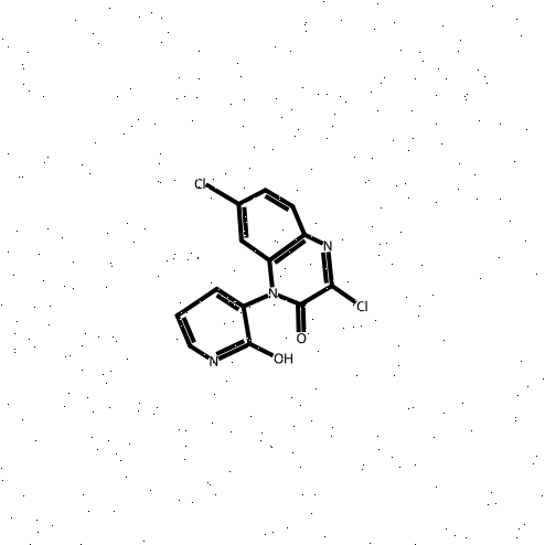 O=c1c(Cl)nc2ccc(Cl)cc2n1-c1cccnc1O